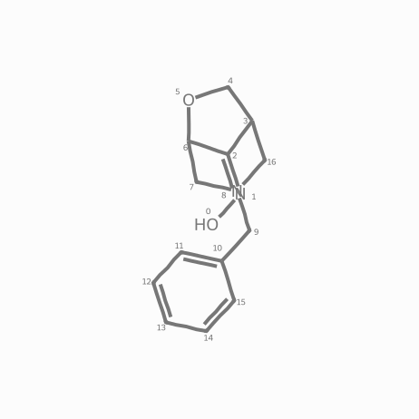 ON=C1C2COC1CN(Cc1ccccc1)C2